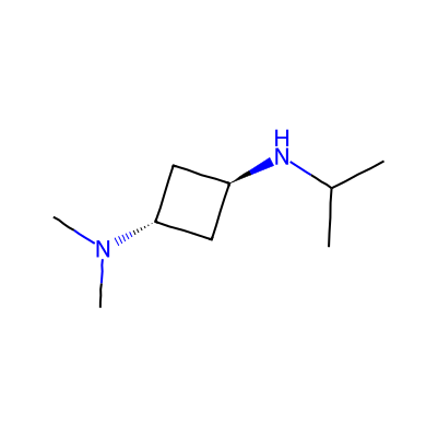 CC(C)N[C@H]1C[C@H](N(C)C)C1